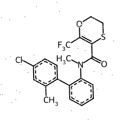 Cc1cc(Cl)ccc1-c1ccccc1N(C)C(=O)C1=C(C(F)(F)F)OCCS1